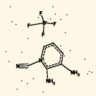 F[B-](F)(F)F.N#C[n+]1cccc(N)c1N